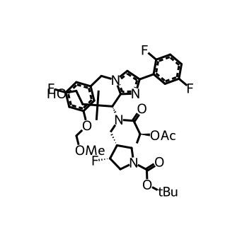 COCOc1cc(F)cc(Cn2cc(-c3cc(F)ccc3F)nc2[C@H](N(C[C@@H]2CN(C(=O)OC(C)(C)C)C[C@@H]2F)C(=O)[C@H](C)OC(C)=O)C(C)(C)CCO)c1